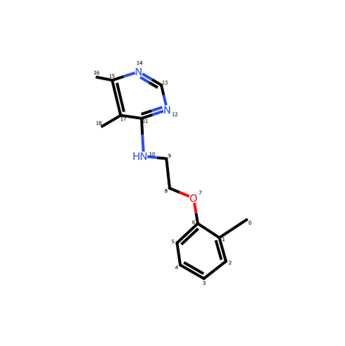 Cc1ccccc1OCCNc1ncnc(C)c1C